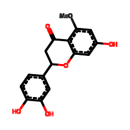 COc1cc(O)cc2c1C(=O)CC(c1ccc(O)c(O)c1)O2